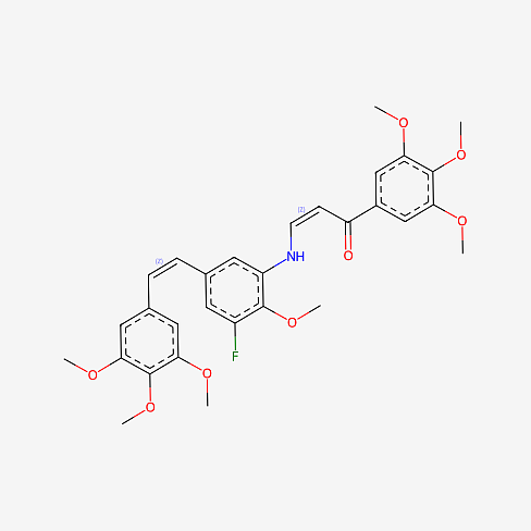 COc1cc(/C=C\c2cc(F)c(OC)c(N/C=C\C(=O)c3cc(OC)c(OC)c(OC)c3)c2)cc(OC)c1OC